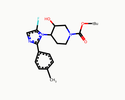 Cc1ccc(-c2ncc(F)n2C2CCN(C(=O)OC(C)(C)C)CC2O)cc1